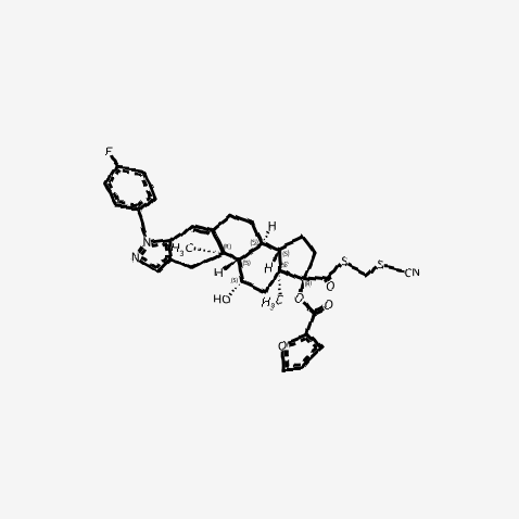 C[C@]12Cc3cnn(-c4ccc(F)cc4)c3C=C1CC[C@@H]1[C@@H]2[C@@H](O)C[C@@]2(C)[C@H]1CC[C@]2(OC(=O)c1ccco1)C(=O)SCSC#N